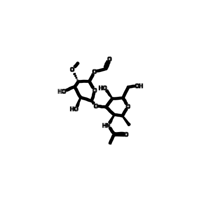 CO[C@@H]1C(OC=O)O[C@@H](OC2[C@@H](O)C(CO)O[C@@H](C)[C@H]2NC(C)=O)[C@@H](O)C1O